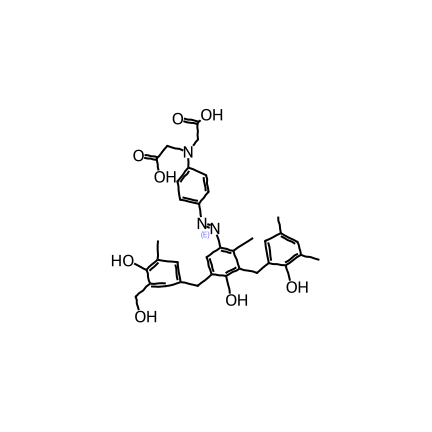 Cc1cc(C)c(O)c(Cc2c(C)c(/N=N/c3ccc(N(CC(=O)O)CC(=O)O)cc3)cc(Cc3cc(C)c(O)c(CO)c3)c2O)c1